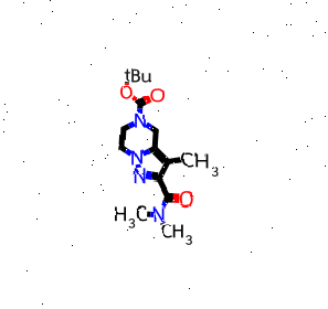 Cc1c(C(=O)N(C)C)nn2c1CN(C(=O)OC(C)(C)C)CC2